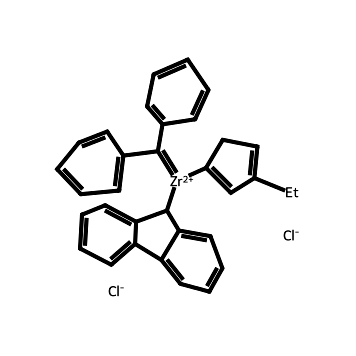 CCC1=CC[C]([Zr+2](=[C](c2ccccc2)c2ccccc2)[CH]2c3ccccc3-c3ccccc32)=C1.[Cl-].[Cl-]